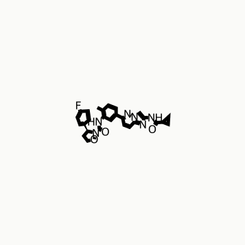 Cc1ccc(-c2ccc3nc(NC(=O)C4CC4)cn3n2)cc1NC(=O)N1OCC[C@H]1c1ccc(F)cc1